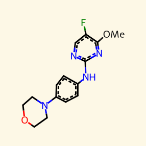 COc1nc(Nc2ccc(N3CCOCC3)cc2)ncc1F